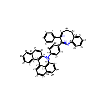 C1=C(c2ccccc2)\C(c2ccc(N3c4ccc5ccccc5c4-c4cccc5cccc3c45)cc2)=N/c2ccccc2CC/1